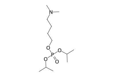 CC(C)OP(=O)(OCCCCN(C)C)OC(C)C